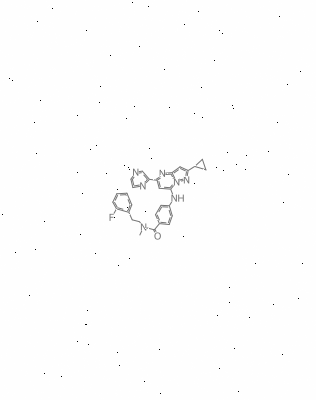 CN(CCc1ccccc1F)C(=O)c1ccc(Nc2cc(-c3cnccn3)nc3cc(C4CC4)nn23)cc1